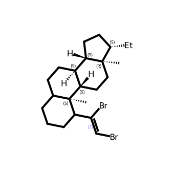 CC[C@H]1CC[C@H]2[C@@H]3CCC4CCCC(/C(Br)=C/Br)[C@]4(C)[C@H]3CC[C@]12C